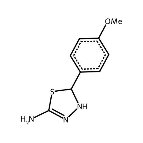 COc1ccc(C2NN=C(N)S2)cc1